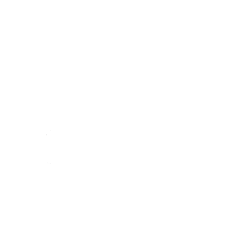 CC(C)OCCCSF